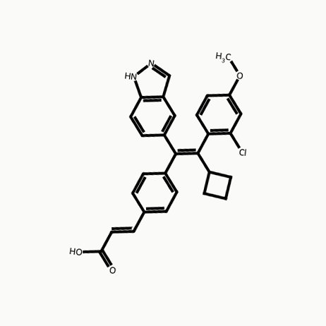 COc1ccc(C(=C(c2ccc(C=CC(=O)O)cc2)c2ccc3[nH]ncc3c2)C2CCC2)c(Cl)c1